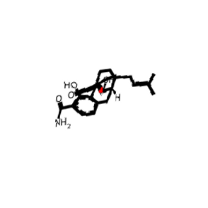 CC(C)=CCC1CCC23CC(=O)CC[C@@]2(O)[C@H]1Cc1ccc(C(N)=O)c(O)c13